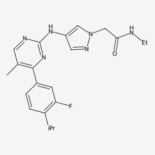 CCNC(=O)Cn1cc(Nc2ncc(C)c(-c3ccc(C(C)C)c(F)c3)n2)cn1